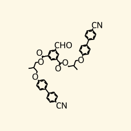 CC(COC(=O)c1cc(C=O)cc(C(=O)OCC(C)COc2ccc(-c3ccc(C#N)cc3)cc2)c1)COc1ccc(-c2ccc(C#N)cc2)cc1